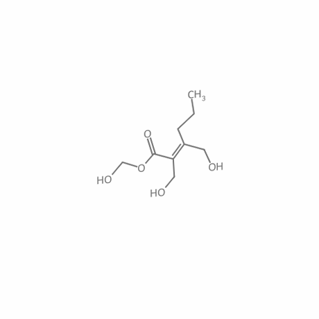 CCCC(CO)=C(CO)C(=O)OCO